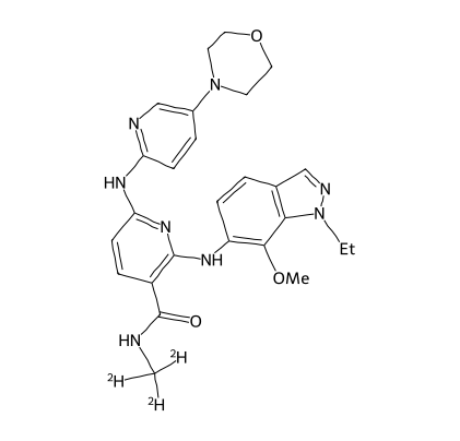 [2H]C([2H])([2H])NC(=O)c1ccc(Nc2ccc(N3CCOCC3)cn2)nc1Nc1ccc2cnn(CC)c2c1OC